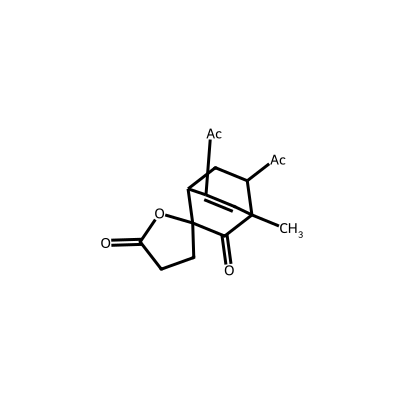 CC(=O)C1=CC2(C)C(=O)C3(CCC(=O)O3)C1CC2C(C)=O